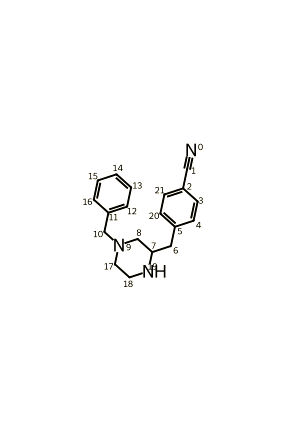 N#Cc1ccc(CC2CN(Cc3ccccc3)CCN2)cc1